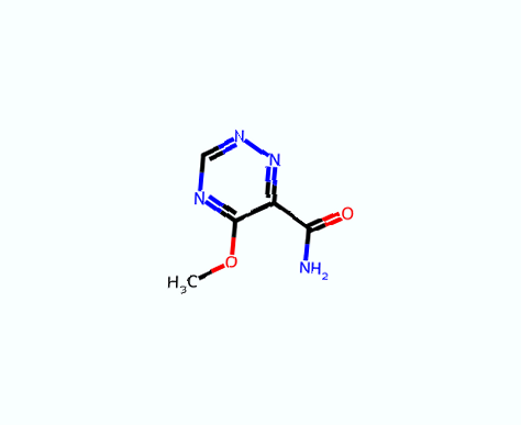 COc1ncnnc1C(N)=O